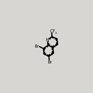 FC(F)(F)c1ccc2cc(Br)cc(Br)c2n1